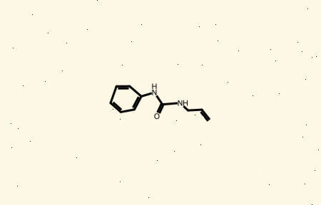 C=CCNC(=O)Nc1ccccc1